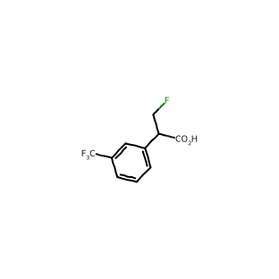 O=C(O)C(CF)c1cccc(C(F)(F)F)c1